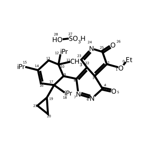 CCOC1=C2C(=O)N=NC(C3C(C)(C(C)C)CC(C(C)C)=CC3(C(C)C)C3CC3)=C2C=NC1=O.O=S(=O)(O)O